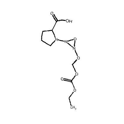 CCOC(=O)OCOn1on1N1CCCC1C(=O)O